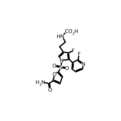 NC(=O)c1ccc(S(=O)(=O)n2cc(CCNC(=O)O)c(F)c2-c2cccnc2F)o1